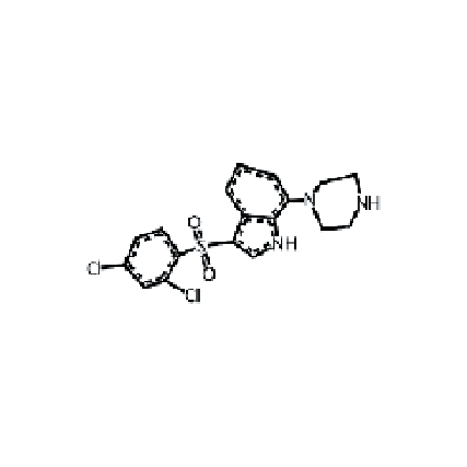 O=S(=O)(c1ccc(Cl)cc1Cl)c1c[nH]c2c(N3CCNCC3)cccc12